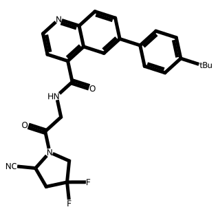 CC(C)(C)c1ccc(-c2ccc3nccc(C(=O)NCC(=O)N4CC(F)(F)CC4C#N)c3c2)cc1